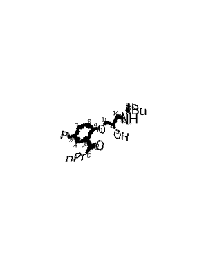 CCCC(=O)c1cc(F)ccc1OCC(O)CNC(C)(C)C